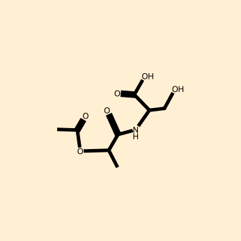 CC(=O)OC(C)C(=O)NC(CO)C(=O)O